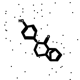 O=C1C2C3C=CC(C3)C2CCN1c1ccc(O)cc1